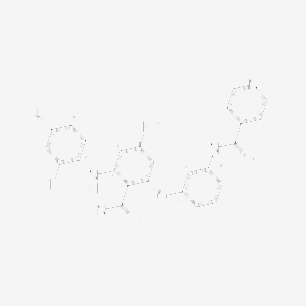 NC(=O)c1c(Nc2ccc(I)cc2F)cc(F)cc1Oc1cccc(NC(=O)c2ccncc2)c1